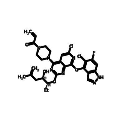 C=CC(=O)N1CCN(c2nc(O[C@H](CC)[C@H](O)CC(=C)C)nc3c(Oc4c(Cl)c(F)cc5[nH]ncc45)nc(Cl)cc23)CC1